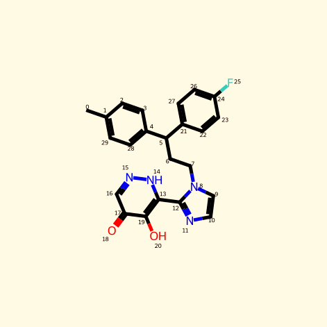 Cc1ccc(C(CCn2ccnc2-c2[nH]ncc(=O)c2O)c2ccc(F)cc2)cc1